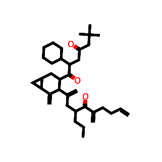 C=CCCC(=C)C(=O)C(CCC)CC(=C)C1C(=C)C2CC2CC1C(=O)C(CC(=O)CC(C)(C)C)C1CCCCC1